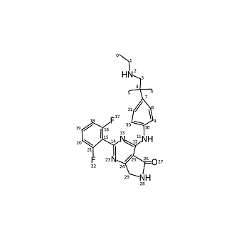 CCNCC(C)(C)c1ccc(Nc2nc(-c3c(F)cccc3F)nc3c2C(=O)NC3)cc1